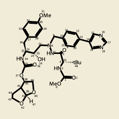 COC(=O)N[C@H](C(=O)NN(Cc1ccc(-c2cncnc2)cc1)C[C@H](O)[C@H](Cc1ccc(OC)cc1)NC(=O)O[C@H]1CO[C@H]2OCCC21)C(C)(C)C